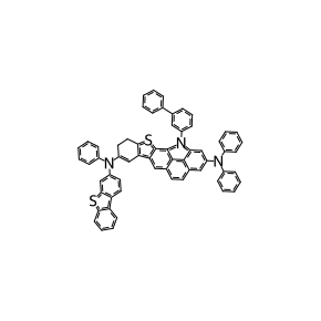 C1=C(N(c2ccccc2)c2ccc3c(c2)sc2ccccc23)CCc2sc3c(cc4ccc5cc(N(c6ccccc6)c6ccccc6)cc6c5c4c3n6-c3cccc(-c4ccccc4)c3)c21